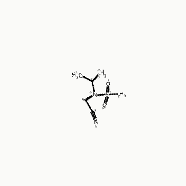 CC(C)N(CC#N)S(C)(=O)=O